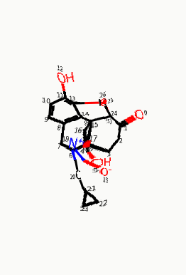 O=C1CC[C@]2(O)C3Cc4ccc(O)c5c4[C@]2(CC[N+]3([O-])CC2CC2)[C@@H]1O5